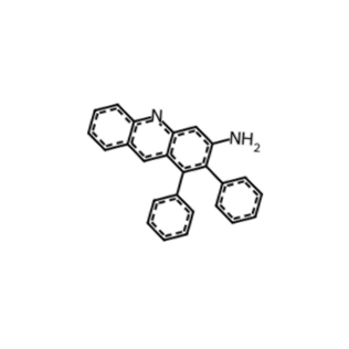 Nc1cc2nc3ccccc3cc2c(-c2ccccc2)c1-c1ccccc1